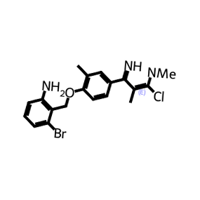 CN/C(Cl)=C(/C)C(=N)c1ccc(OCc2c(N)cccc2Br)c(C)c1